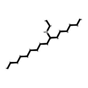 CCCCCCCCCC(CCCCCC)OCC